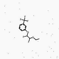 CCSC(F)C(F)Oc1cccc(C(F)(F)F)c1